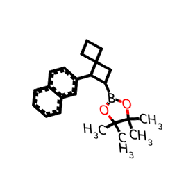 CC1(C)OB(C2CC3(CCC3)C2c2ccc3ccccc3c2)OC1(C)C